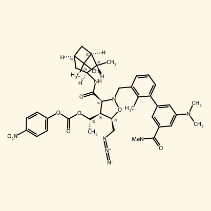 CNC(=O)c1cc(-c2cccc(CN3O[C@@H](CN=[N+]=[N-])[C@@H]([C@H](C)OC(=O)Oc4ccc([N+](=O)[O-])cc4)[C@H]3C(=O)N[C@H]3C[C@H]4C[C@@H]([C@@H]3C)C4(C)C)c2C)cc(N(C)C)c1